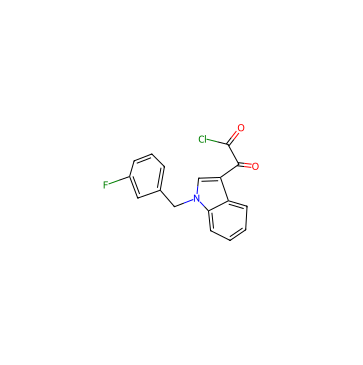 O=C(Cl)C(=O)c1cn(Cc2cccc(F)c2)c2ccccc12